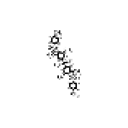 Cc1ccc(S(=O)(=O)Oc2c(C)cc(C(c3cc(C)c(OS(=O)(=O)c4ccc(C)cc4)c(C)c3)(C(F)(F)F)C(F)(F)F)cc2C)cc1